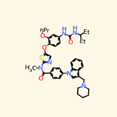 CCCOc1cc(NC(=O)NC(CC)CC)ccc1Oc1cnc(N(C)C(=O)c2ccc(-n3cc(CN4CCCCC4)c4ccccc43)cc2)s1